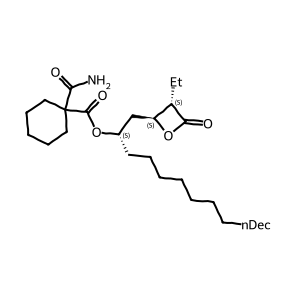 CCCCCCCCCCCCCCCCC[C@@H](C[C@@H]1OC(=O)[C@H]1CC)OC(=O)C1(C(N)=O)CCCCC1